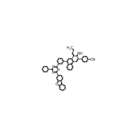 C=C/C=C1\C(=N)C(c2ccc(C#N)cc2)=Cc2c1cc(-c1cccc(-c3nc(-c4ccccc4)nc(-c4ccc5c(c4)oc4ccccc45)n3)c1)c1ccccc21